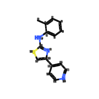 Cc1ccccc1Nc1nc(-c2ccncc2)cs1